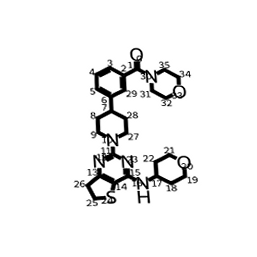 O=C(c1cccc(C2CCN(c3nc4c(c(NC5CCOCC5)n3)SCC4)CC2)c1)N1CCOCC1